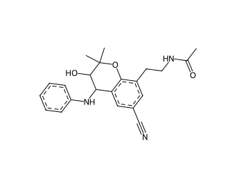 CC(=O)NCCc1cc(C#N)cc2c1OC(C)(C)C(O)C2Nc1ccccc1